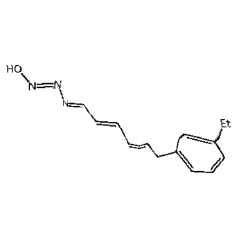 CCc1cccc(C/C=C/C=C/C=N/N=N/O)c1